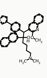 COc1nc2ccccc2cc1C(c1ccc(-c2ccoc2)cc1)C(O)(CCCCN(C)C)c1ccc2ccccc2c1